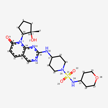 C[C@]1(O)CCC[C@@H]1n1c(=O)ccc2cnc(NC3CCN(S(=O)(=O)NC4CCOCC4)CC3)nc21